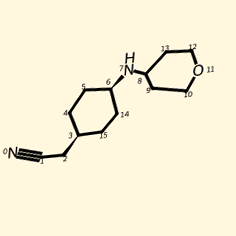 N#CC[C@H]1CC[C@@H](NC2CCOCC2)CC1